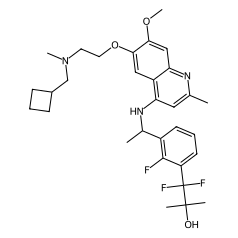 COc1cc2nc(C)cc(NC(C)c3cccc(C(F)(F)C(C)(C)O)c3F)c2cc1OCCN(C)CC1CCC1